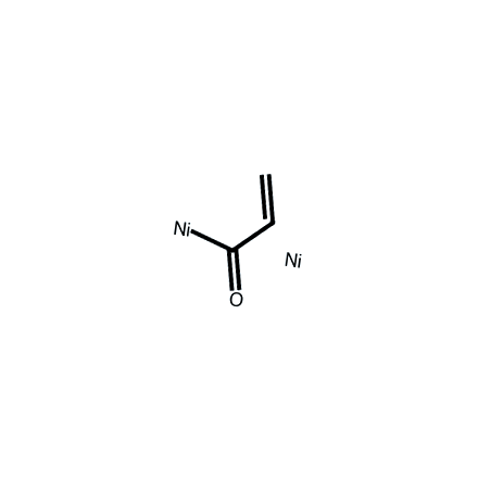 C=C[C](=O)[Ni].[Ni]